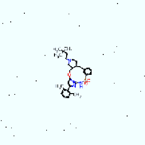 Cc1cccc(C)c1-c1cc2nc(n1)NS(=O)(=O)c1cccc(c1)CC1CCN(CCC(C)(C)C)CC1CO2